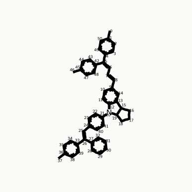 Cc1ccc(C(=C/C=C/c2ccc3c(c2)C2CCCC2N3c2ccc(/C=C(\c3ccccc3)c3ccc(C)cc3)cc2)c2ccc(C)cc2)cc1